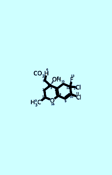 CC1C[C@@](O)(CC(=O)O)C2=C(C=C(Cl)C(F)(Cl)C2)O1